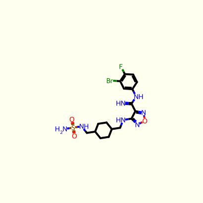 N=C(Nc1ccc(F)c(Br)c1)c1nonc1NCC1CCC(CNS(N)(=O)=O)CC1